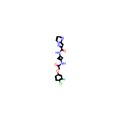 O=C(COc1ccc(Cl)c(F)c1)NC12CC(NC(=O)c3cc4ncccn4n3)(C1)C2